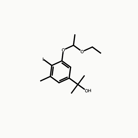 CCOC(C)Oc1cc(C(C)(C)O)cc(C)c1I